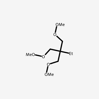 CCC(COOC)(COOC)COOC